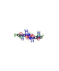 O=C(Nc1ccc(NC(=O)c2ncn3c(=O)c4c(C(=O)Nc5ccc(NC(=O)c6ccc(F)cc6Cl)cc5)ncn4c(=O)c23)cc1)c1ccc(F)cc1Cl